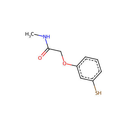 CNC(=O)COc1cccc(S)c1